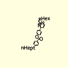 CCCCCCCc1ccc(C(=O)Oc2ccc(-c3ccnc(SCCCCCC)n3)cc2)cc1